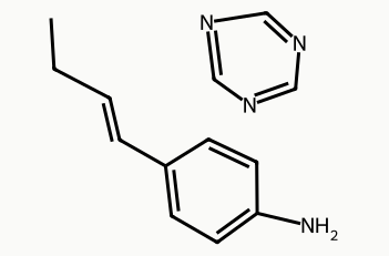 CCC=Cc1ccc(N)cc1.c1ncncn1